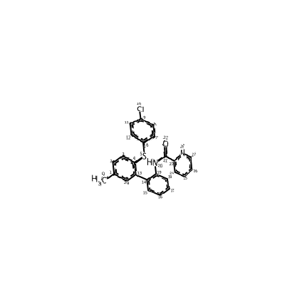 Cc1ccc(Sc2ccc(Cl)cc2)c(-c2ccccc2NC(=O)c2ccccn2)c1